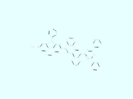 N#Cc1cc2ccc3cc(-c4cc5c6ccccc6c(-c6nc(-c7ccccc7)nc(-c7ccccc7)n6)cc5c5ccccc45)cc4c3c2c(c1)n4-c1ccccc1